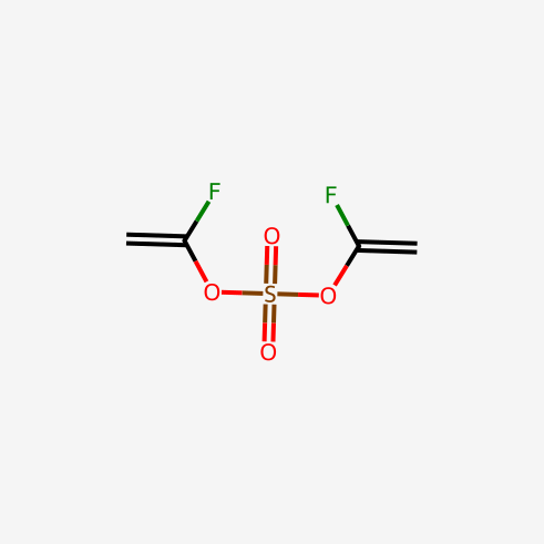 C=C(F)OS(=O)(=O)OC(=C)F